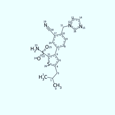 CC(C)Cc1cc(-c2ccc(Cn3ccnc3)c(C#N)c2)c(S(N)(=O)=O)s1